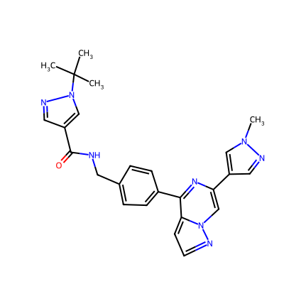 Cn1cc(-c2cn3nccc3c(-c3ccc(CNC(=O)c4cnn(C(C)(C)C)c4)cc3)n2)cn1